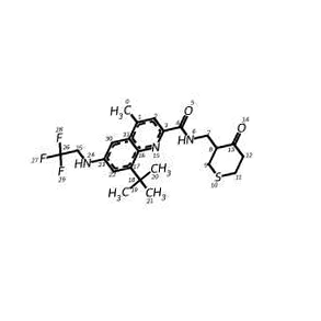 Cc1cc(C(=O)NCC2CSCCC2=O)nc2c(C(C)(C)C)cc(NCC(F)(F)F)cc12